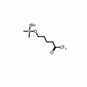 CC(C)(C)[Si](C)(C)OCCCCC(=O)C(F)(F)F